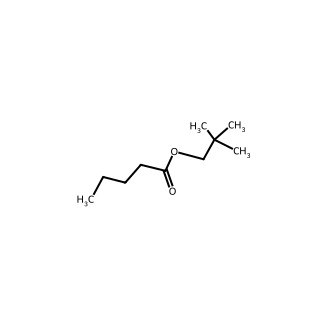 CCCCC(=O)OCC(C)(C)C